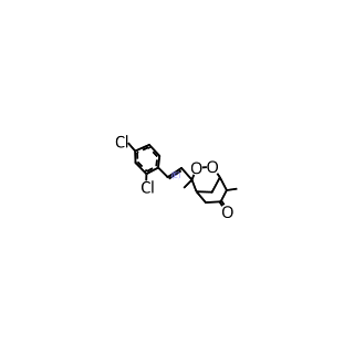 CC1C(=O)CC2CC1OOC2(C)/C=C/c1ccc(Cl)cc1Cl